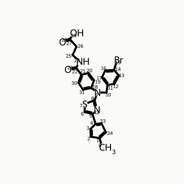 Cc1ccc(-c2csc(N(Cc3ccc(Br)cc3)c3ccc(C(=O)NCCC(=O)O)cc3)n2)cc1